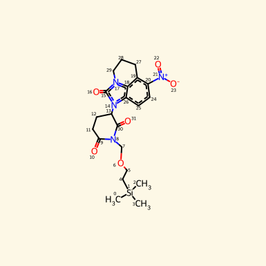 C[Si](C)(C)CCOCN1C(=O)CCC(n2c(=O)n3c4c(c([N+](=O)[O-])ccc42)CCC3)C1=O